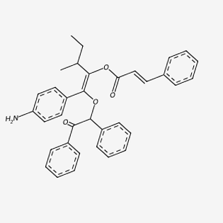 CCC(C)C(OC(=O)C=Cc1ccccc1)=C(OC(C(=O)c1ccccc1)c1ccccc1)c1ccc(N)cc1